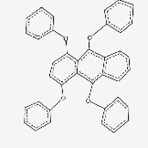 c1ccc(Oc2ccc(Oc3ccccc3)c3c(Oc4ccccc4)c4ccccc4c(Oc4ccccc4)c23)cc1